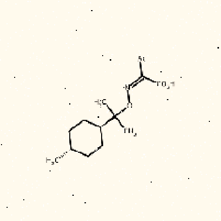 CC(=O)/C(=N/OC(C)(C)[C@H]1CC[C@H](C)CC1)C(=O)O